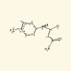 CCC(CC(N)=O)Nc1ccc(C(F)(F)F)cc1